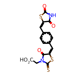 O=C(O)CN1C(=O)/C(=C\c2ccc(/C=C3/SC(=O)NC3=O)cc2)SC1=S